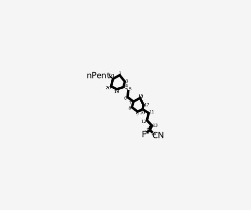 CCCCC[C@H]1CC[C@H](CCC2CCC(CCC=C(F)C#N)CC2)CC1